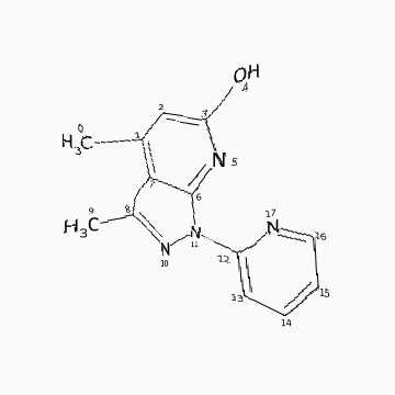 Cc1cc(O)nc2c1c(C)nn2-c1ccccn1